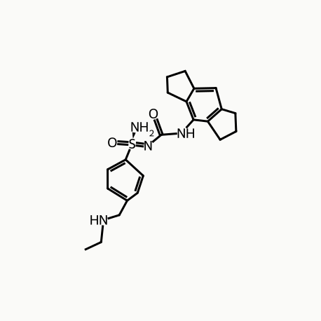 CCNCc1ccc([S@](N)(=O)=NC(=O)Nc2c3c(cc4c2CCC4)CCC3)cc1